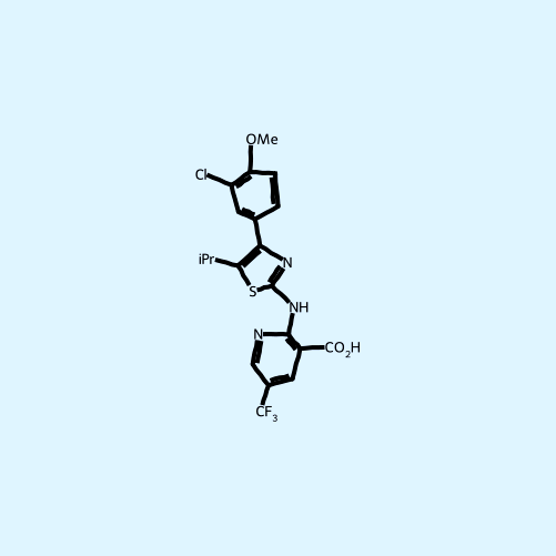 COc1ccc(-c2nc(Nc3ncc(C(F)(F)F)cc3C(=O)O)sc2C(C)C)cc1Cl